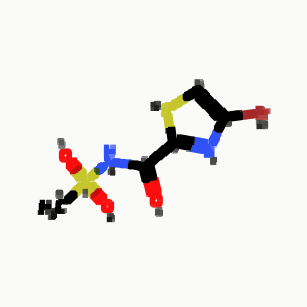 CS(=O)(=O)NC(=O)c1nc(Br)cs1